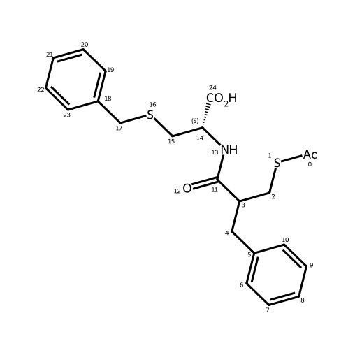 CC(=O)SCC(Cc1ccccc1)C(=O)N[C@H](CSCc1ccccc1)C(=O)O